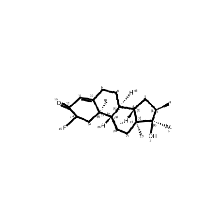 CC(=O)[C@@]1(O)[C@H](C)C[C@H]2[C@@H]3CCC4=CC(=O)C(F)C[C@]4(C)[C@H]3CC[C@@]21C